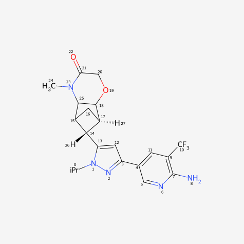 CC(C)n1nc(-c2cnc(N)c(C(F)(F)F)c2)cc1[C@@H]1C2C[C@H]1C1OCC(=O)N(C)C21